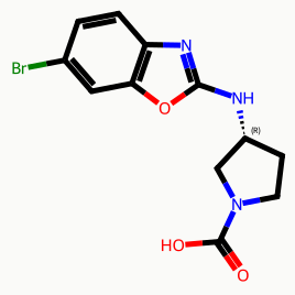 O=C(O)N1CC[C@@H](Nc2nc3ccc(Br)cc3o2)C1